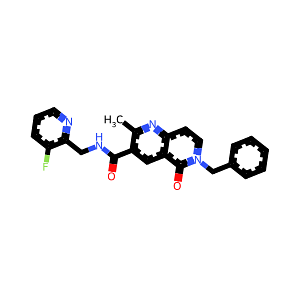 Cc1nc2ccn(Cc3ccccc3)c(=O)c2cc1C(=O)NCc1ncccc1F